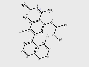 C=C/N=C(/N)c1c(OC(CCC)CN=O)nc(-c2cccc3c2C(CC)=CCC3)c(F)c1C